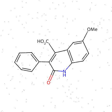 COc1ccc2[nH]c(=O)c(-c3ccccc3)c(C(=O)O)c2c1